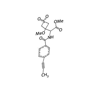 CC#Cc1ccc(C(=O)NC(C(=O)OC)C2(OC)CS(=O)(=O)C2)cc1